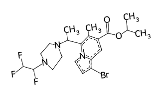 Cc1c(C(=O)OC(C)C)cc2c(Br)ccn2c1C(C)N1CCN(C(F)C(F)F)CC1